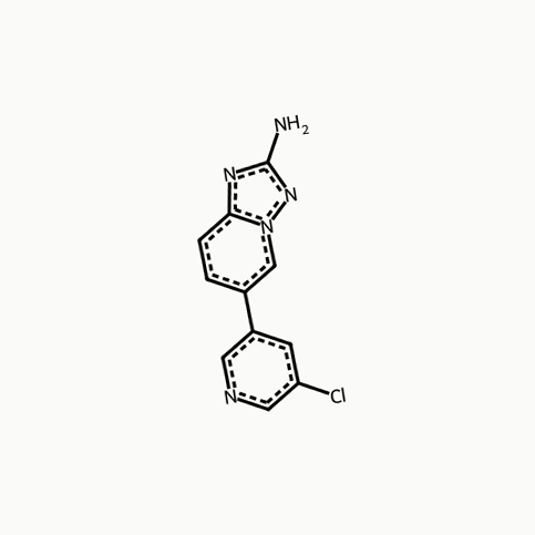 Nc1nc2ccc(-c3cncc(Cl)c3)cn2n1